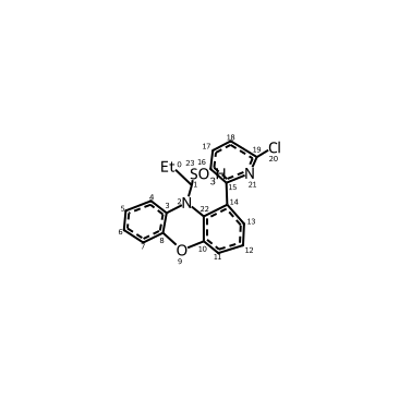 CCC(N1c2ccccc2Oc2cccc(-c3cccc(Cl)n3)c21)S(=O)(=O)O